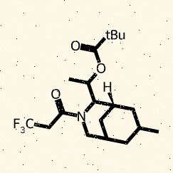 CC1CC2C[C@@H](C1)C(C(C)OC(=O)C(C)(C)C)N(C(=O)CC(F)(F)F)C2